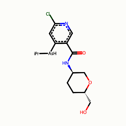 CC(C)[AsH]c1cc(Cl)ncc1C(=O)N[C@@H]1CC[C@@H](CO)OC1